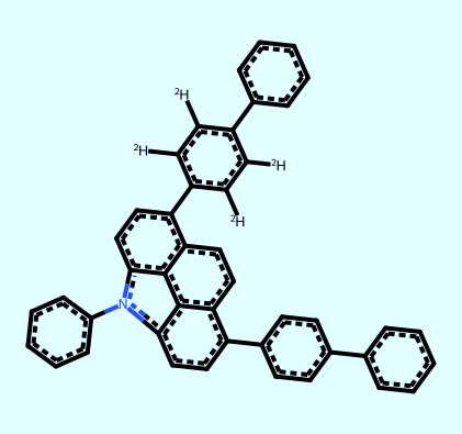 [2H]c1c([2H])c(-c2ccc3c4c2ccc2c(-c5ccc(-c6ccccc6)cc5)ccc(c24)n3-c2ccccc2)c([2H])c([2H])c1-c1ccccc1